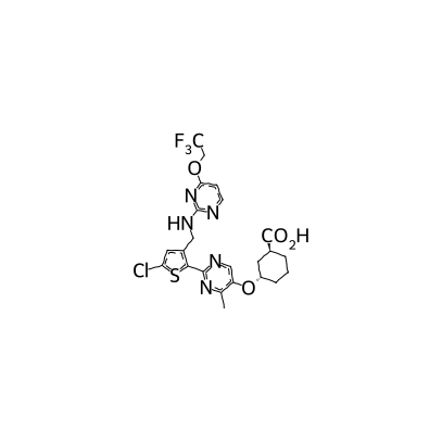 Cc1nc(-c2sc(Cl)cc2CNc2nccc(OCC(F)(F)F)n2)ncc1O[C@H]1CCC[C@H](C(=O)O)C1